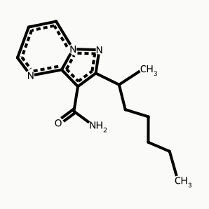 CCCCCC(C)c1nn2cccnc2c1C(N)=O